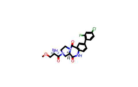 COC[C@H](N)C(=O)N1CCN2C(=O)c3cc(-c4ccc(Cl)cc4F)ccc3NC(=O)[C@H]2C1